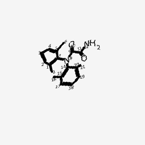 Cc1cccc(C)c1N(C(=O)C(N)=O)c1c(C)cccc1C